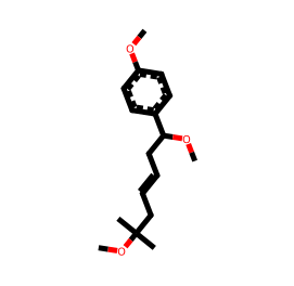 COc1ccc(C(CC=CCC(C)(C)OC)OC)cc1